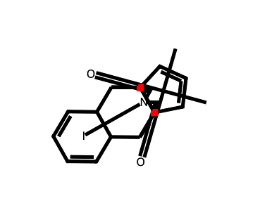 O=C1C2C(C(=O)N1I)C1C3C=C=CC3C2C2C=CC=CC21